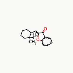 CC1(C)CCCCC1/C=C1\Oc2ccccc2C1=O